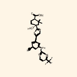 CC1(C)C[C@@](O)(c2ncc(-c3cc(C#N)cc(Nc4nccc(C(F)(F)F)n4)c3)s2)CC[C@H]1C(=O)O